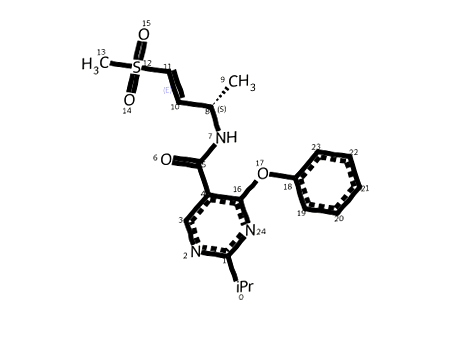 CC(C)c1ncc(C(=O)N[C@@H](C)/C=C/S(C)(=O)=O)c(Oc2ccccc2)n1